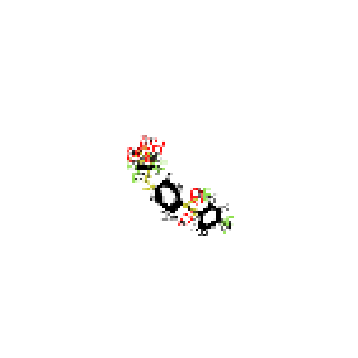 O=S(=O)(c1ccc(SC(F)(F)C(F)(F)S(=O)(=O)O)cc1)c1ccc(F)cc1F